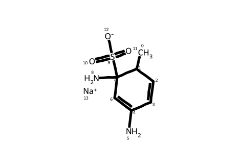 CC1C=CC(N)=CC1(N)S(=O)(=O)[O-].[Na+]